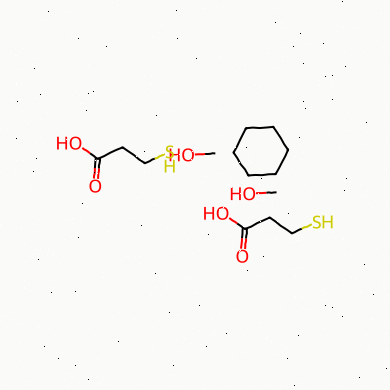 C1CCCCC1.CO.CO.O=C(O)CCS.O=C(O)CCS